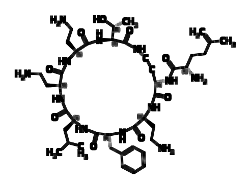 C=C(C)CC[C@H](N)C(=O)N[C@H]1CCNC(=O)[C@H]([C@@H](C)O)NC(=O)[C@H](CCN)NC(=O)[C@H](CCN)NC(=O)[C@H](CC(C)C)NC(=O)[C@@H](Cc2ccccc2)NC(=O)[C@H](CCN)NC1=O